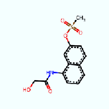 CS(=O)(=O)Oc1ccc2cccc(NC(=O)CO)c2c1